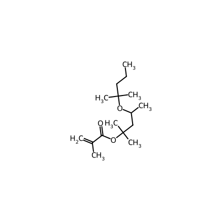 C=C(C)C(=O)OC(C)(C)CC(C)OC(C)(C)CCC